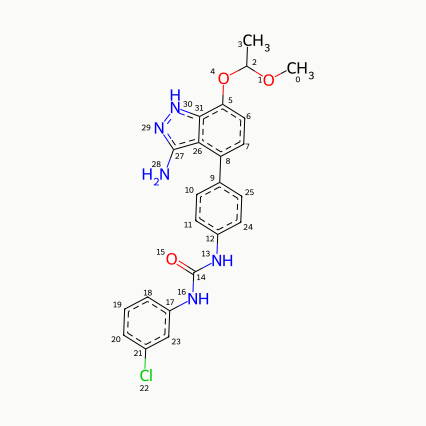 COC(C)Oc1ccc(-c2ccc(NC(=O)Nc3cccc(Cl)c3)cc2)c2c(N)n[nH]c12